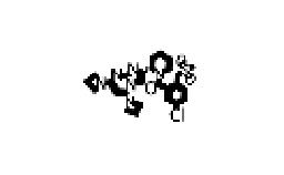 CS(=O)(=O)Cc1ccc(Cl)cc1C(=O)N1CCCC[C@H]1c1cn2c(N3CCC3)cc(N3CCC3)nc2n1